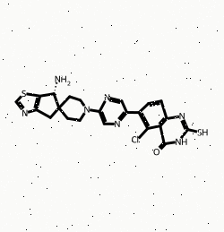 N[C@H]1c2scnc2CC12CCN(c1cnc(-c3ccc4nc(S)[nH]c(=O)c4c3Cl)cn1)CC2